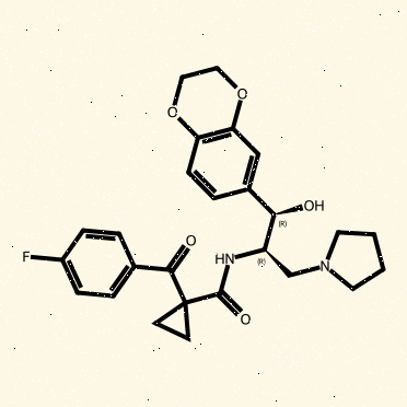 O=C(N[C@H](CN1CCCC1)[C@H](O)c1ccc2c(c1)OCCO2)C1(C(=O)c2ccc(F)cc2)CC1